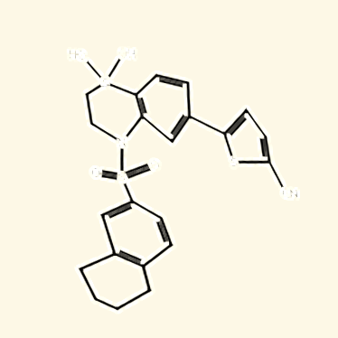 N#Cc1ccc(-c2ccc3c(c2)N(S(=O)(=O)c2ccc4c(c2)CCCC4)CCS3(O)O)s1